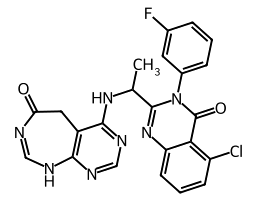 CC(Nc1ncnc2c1CC(=O)N=CN2)c1nc2cccc(Cl)c2c(=O)n1-c1cccc(F)c1